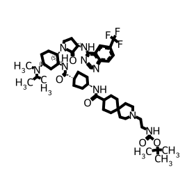 CC(C)N(C)[C@@H]1CC[C@H](N2CC[C@H](Nc3ncnc4ccc(C(F)(F)F)cc34)C2=O)[C@H](NC(=O)[C@H]2CC[C@@H](NC(=O)C3CCC4(CC3)CCN(CCNC(=O)OC(C)(C)C)CC4)CC2)C1